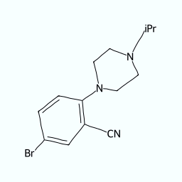 CC(C)N1CCN(c2ccc(Br)cc2C#N)CC1